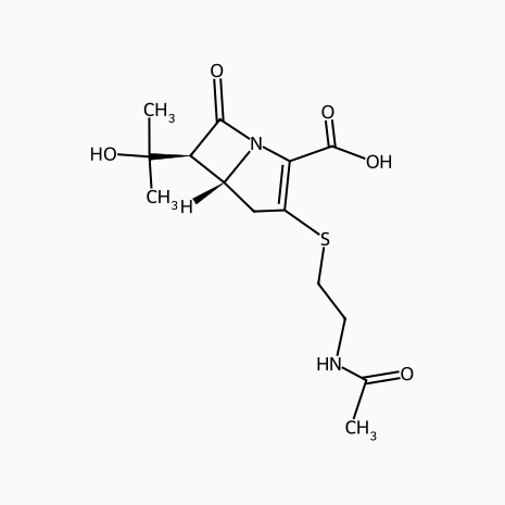 CC(=O)NCCSC1=C(C(=O)O)N2C(=O)[C@H](C(C)(C)O)[C@H]2C1